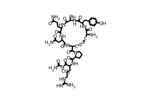 CCC(C)C1NC(=O)C(Cc2ccc(O)cc2)NC(=O)C(N)CSSCC(C(=O)N2CCCC2C(=O)NC(CCCNC(=N)N)C(=O)N(C)C(N)=O)NC(=O)C(CC(N)=O)NC(=O)C(CCC(N)=O)NC1=O